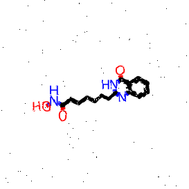 O=C(CCCCCCc1nc2ccccc2c(=O)[nH]1)NO